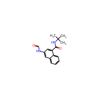 CC(C)(C)NC(=O)c1cc(N[C]=O)cc2ccccc12